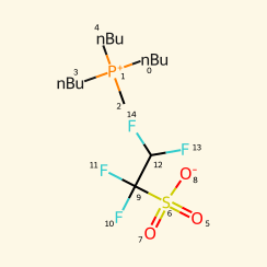 CCCC[P+](C)(CCCC)CCCC.O=S(=O)([O-])C(F)(F)C(F)F